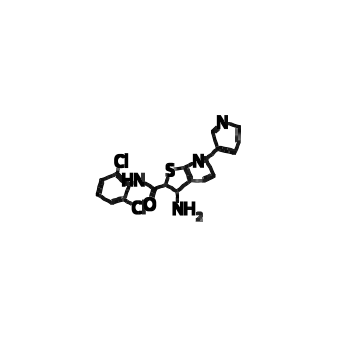 NC1c2ccc(-c3cccnc3)nc2SC1C(=O)Nc1c(Cl)cccc1Cl